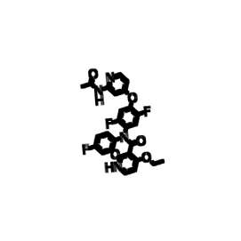 CCOc1cc[nH]c(=O)c1C(=O)N(c1ccc(F)cc1)c1cc(F)c(Oc2ccnc(NC(C)=O)c2)cc1F